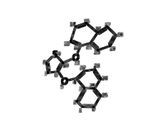 c1ccc2c(Oc3ccsc3Oc3cccc4ccccc34)cccc2c1